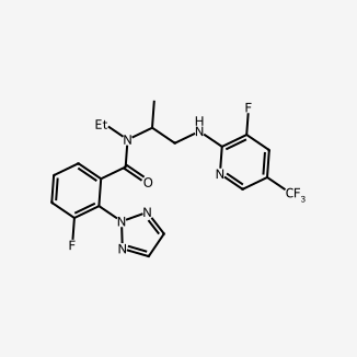 CCN(C(=O)c1cccc(F)c1-n1nccn1)C(C)CNc1ncc(C(F)(F)F)cc1F